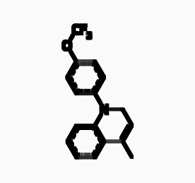 CC1=CCN(c2ccc(OC(F)(F)F)cc2)c2ccccc21